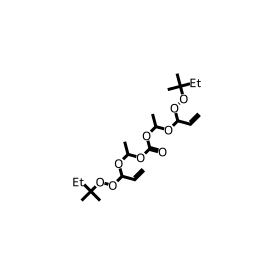 C=CC(OOC(C)(C)CC)OC(C)OC(=O)OC(C)OC(C=C)OOC(C)(C)CC